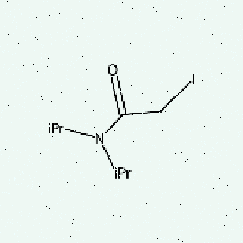 CC(C)N(C(=O)CI)C(C)C